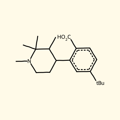 CC1C(c2cc(C(C)(C)C)ccc2C(=O)O)CCN(C)C1(C)C